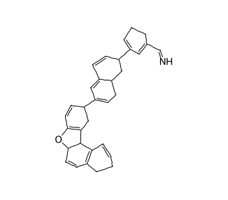 N=CC1=CC(C2C=CC3=CC(C4C=CC5=C(C4)C4C6=C(C=CC4O5)CCC=C6)=CCC3C2)=CCC1